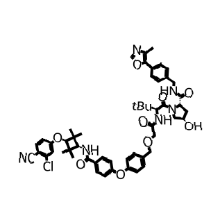 Cc1ncoc1-c1ccc(CNC(=O)[C@@H]2C[C@@H](O)CN2C(=O)[C@@H](NC(=O)COCc2ccc(Oc3ccc(C(=O)N[C@H]4C(C)(C)[C@H](Oc5ccc(C#N)c(Cl)c5)C4(C)C)cc3)cc2)C(C)(C)C)cc1